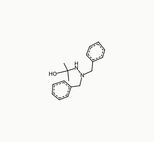 CC(C)(O)NN(Cc1ccccc1)Cc1ccccc1